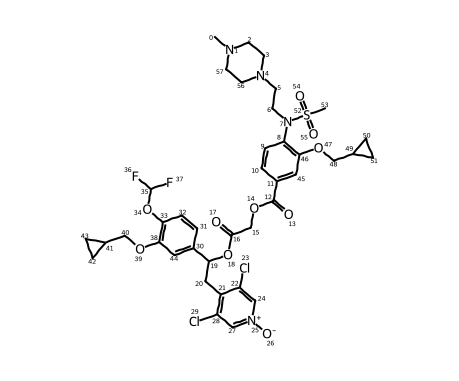 CN1CCN(CCN(c2ccc(C(=O)OCC(=O)OC(Cc3c(Cl)c[n+]([O-])cc3Cl)c3ccc(OC(F)F)c(OCC4CC4)c3)cc2OCC2CC2)S(C)(=O)=O)CC1